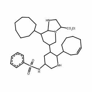 CCOC(=O)C1CNC2C(C3CCCCCCC3)CC(C3CC(NS(=O)(=O)c4ccccc4)CNC3C3C/C=C\CCCC3)CN12